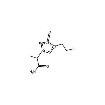 CC(C(N)=O)c1cn(CCCl)c(=O)[nH]1